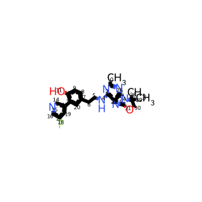 Cc1nc(NCCc2ccc(O)c(-c3cncc(F)c3)c2)c2nc3n(c2n1)C(C)(C)CO3